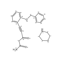 C1COCCN1.NC(=O)CC(=O)C#Cc1ccccc1OCc1ccccc1